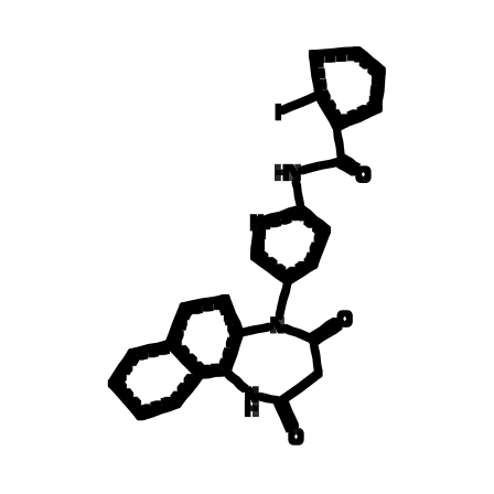 O=C1CC(=O)N(c2ccc(NC(=O)c3ccccc3I)nc2)c2ccc3ccccc3c2N1